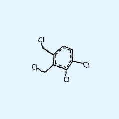 ClCc1ccc(Cl)c(Cl)c1CCl